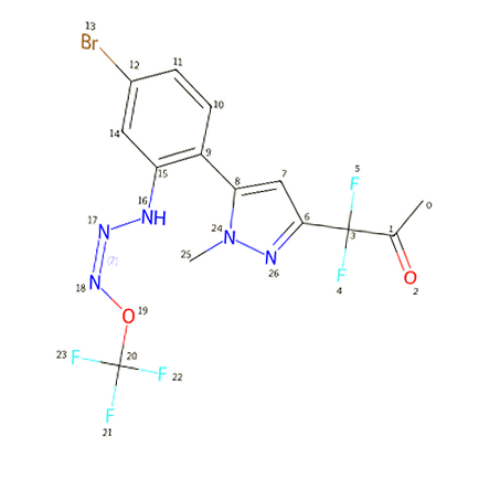 CC(=O)C(F)(F)c1cc(-c2ccc(Br)cc2N/N=N\OC(F)(F)F)n(C)n1